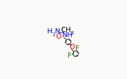 CC(NCc1ccc(OCc2c(F)cccc2F)cc1)C(N)=O